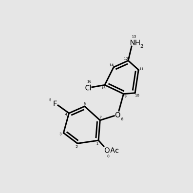 CC(=O)Oc1ccc(F)cc1Oc1ccc(N)cc1Cl